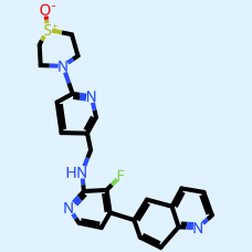 [O-][S+]1CCN(c2ccc(CNc3nccc(-c4ccc5ncccc5c4)c3F)cn2)CC1